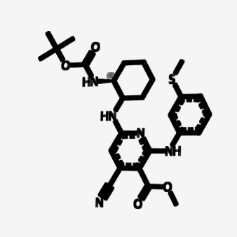 COC(=O)c1c(C#N)cc(NC2CCCC[C@@H]2NC(=O)OC(C)(C)C)nc1Nc1cccc(SC)c1